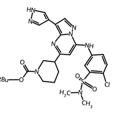 CN(C)S(=O)(=O)c1cc(Nc2cc(C3CCCN(C(=O)OC(C)(C)C)C3)nc3c(-c4cn[nH]c4)cnn23)ccc1Cl